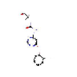 COc1ccccc1Oc1cc(N(C)C(=O)NC(C)(C)C=O)ncn1